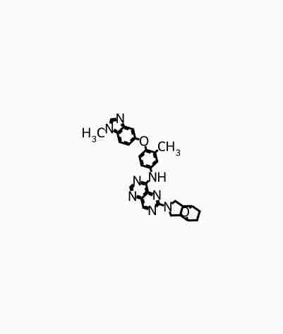 Cc1cc(Nc2ncnc3cnc(N4CC5C6CCC(O6)C5C4)nc23)ccc1Oc1ccc2c(c1)ncn2C